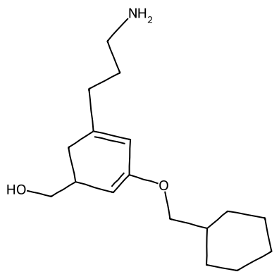 NCCCC1=CC(OCC2CCCCC2)=CC(CO)C1